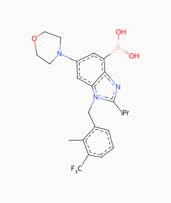 Cc1c(Cn2c(C(C)C)nc3c(B(O)O)cc(N4CCOCC4)cc32)cccc1C(F)(F)F